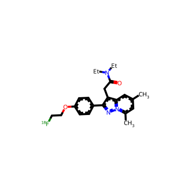 CCN(CC)C(=O)Cc1c(-c2ccc(OCC[18F])cc2)nn2c(C)cc(C)cc12